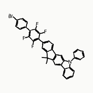 CC1(C)c2cc(-c3c(F)c(F)c(-c4ccc(Br)cc4)c(F)c3F)ccc2-c2cc3c(cc21)c1ccccc1n3-c1ccccc1